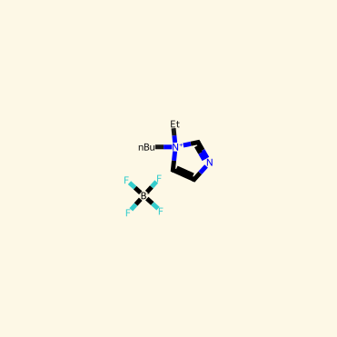 CCCC[N+]1(CC)C=CN=C1.F[B-](F)(F)F